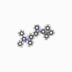 c1ccc(-c2cc(-c3ccccc3)nc(-n3c4ccccc4c4cc(-c5ccc6c(c5)c5ccccc5n6-c5ccc([Si](c6ccccc6)(c6ccccc6)c6ccccc6)cc5)ccc43)c2)cc1